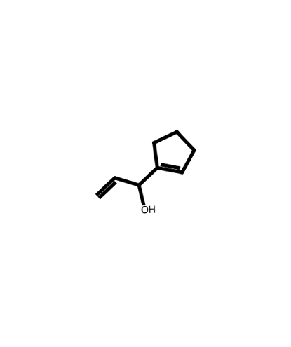 C=CC(O)C1=CCCC1